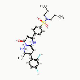 CCCN(CCC)S(=O)(=O)c1ccc(C2=CC(=O)N3NC(C)=C(c4ccc(F)cc4F)C=C3N2)cc1